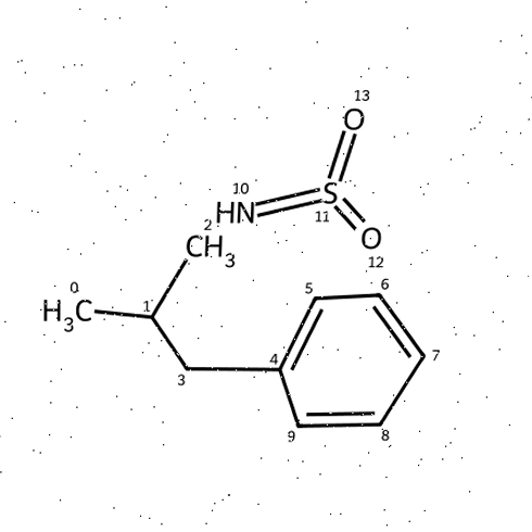 CC(C)Cc1ccccc1.N=S(=O)=O